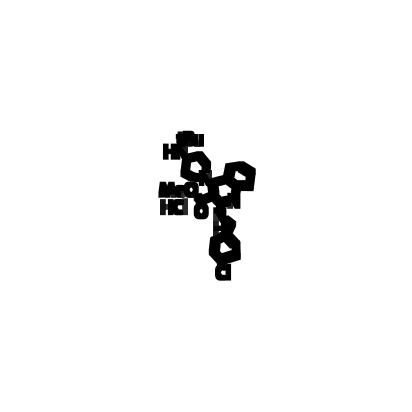 COC(=O)c1c(NCc2ccc(Cl)cc2)nc2ccccc2c1N1CCC(NC(C)(C)C)CC1.Cl